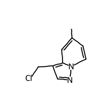 Cc1ccn2ncc(CCl)c2c1